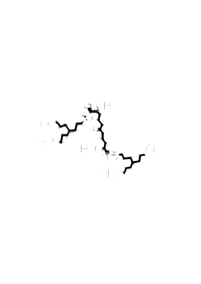 CCCCC(CCCC)CCCSOC(=O)C(C)CCCC(=S)CCCC(C)C(=O)OSCCCC(CCCC)CCCC